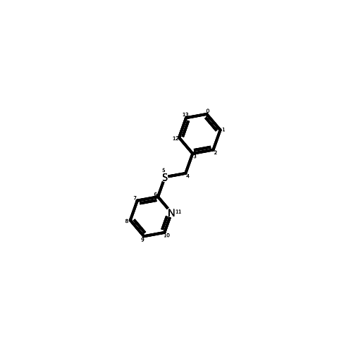 [c]1ccc(CSc2ccccn2)cc1